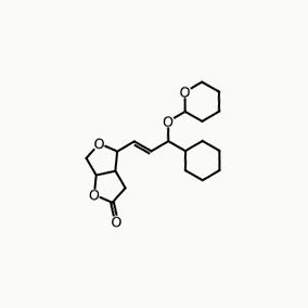 O=C1CC2C(C=CC(OC3CCCCO3)C3CCCCC3)OCC2O1